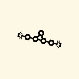 c1ccc2c(c1)c1cc(-c3ccc(-c4nccs4)cc3)ccc1c1ccc(-c3ccc(-c4nccs4)cc3)cc21